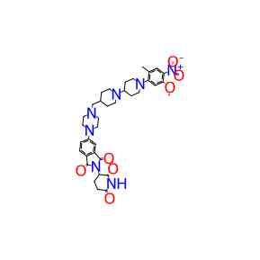 COc1cc(N2CCC(N3CCC(CN4CCN(c5ccc6c(c5)C(=O)N(C5CCC(=O)NC5=O)C6=O)CC4)CC3)CC2)c(C)cc1[N+](=O)[O-]